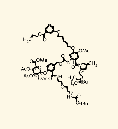 C=CCOC(=O)c1cncc(OCCCCCOc2cc(NC(=O)OCc3ccc(O[C@@H]4O[C@H](C(=O)OC)[C@@H](OC(C)=O)[C@H](OC(C)=O)[C@H]4OC(C)=O)c(C(=O)NCCOCCONC(=O)OC(C)(C)C)c3)c(C(=O)N3CC(=C)C[C@H]3CO[Si](C)(C)C(C)(C)C)cc2OC)c1